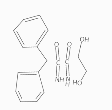 N=C=O.N=C=O.OCCO.c1ccc(Cc2ccccc2)cc1